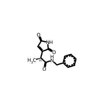 C[C@H](C(=O)NCc1ccccc1)C1=CC(=O)NC1=O